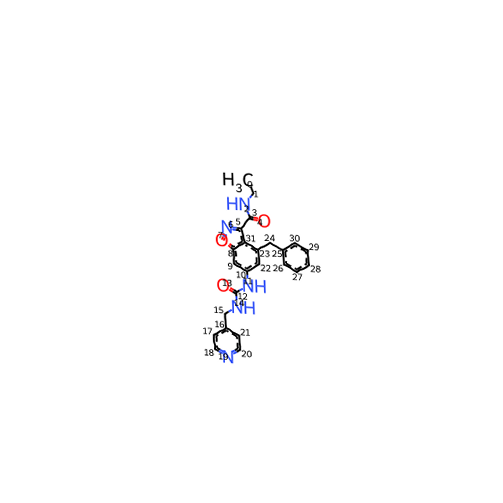 CCNC(=O)c1noc2cc(NC(=O)NCc3ccncc3)cc(Cc3ccccc3)c12